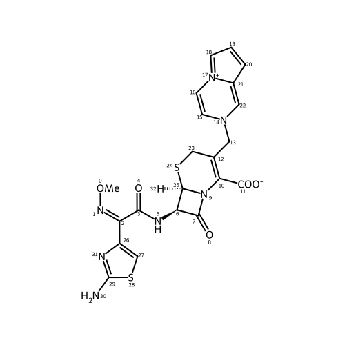 CO/N=C(\C(=O)N[C@@H]1C(=O)N2C(C(=O)[O-])=C(Cn3cc[n+]4cccc-4c3)CS[C@H]12)c1csc(N)n1